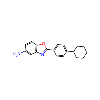 Nc1ccc2oc(-c3ccc(C4CCCCC4)cc3)nc2c1